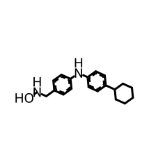 ONCc1ccc(Nc2ccc(C3CCCCC3)cc2)cc1